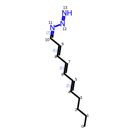 CCCC/C=C/C=C/C=C/C=N\N=N